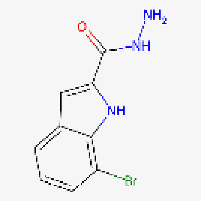 NNC(=O)c1cc2cccc(Br)c2[nH]1